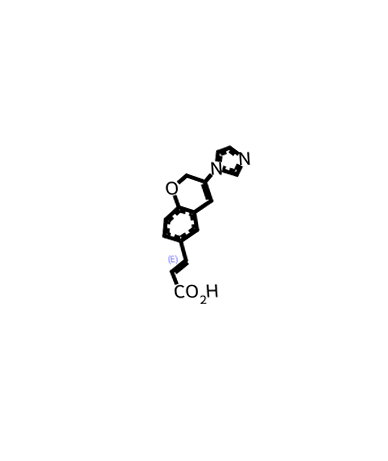 O=C(O)/C=C/c1ccc2c(c1)C=C(n1ccnc1)CO2